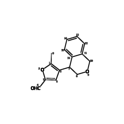 Cc1oc(C=O)cc1C1COCc2ccccc21